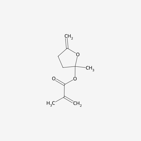 C=C1CCC(C)(OC(=O)C(=C)C)O1